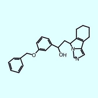 OC(CC1C2=C(CCCC2)c2cncn21)c1cccc(OCc2ccccc2)c1